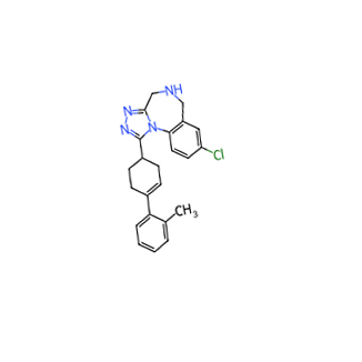 Cc1ccccc1C1=CCC(c2nnc3n2-c2ccc(Cl)cc2CNC3)CC1